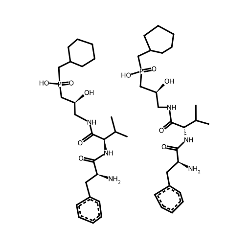 CC(C)[C@@H](NC(=O)[C@@H](N)Cc1ccccc1)C(=O)NC[C@H](O)CP(=O)(O)CC1CCCCC1.CC(C)[C@H](NC(=O)[C@@H](N)Cc1ccccc1)C(=O)NC[C@H](O)CP(=O)(O)CC1CCCCC1